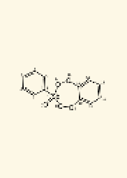 [O]=[Sb]1([c]2ccccc2)[O]Oc2ccccc2O[O]1